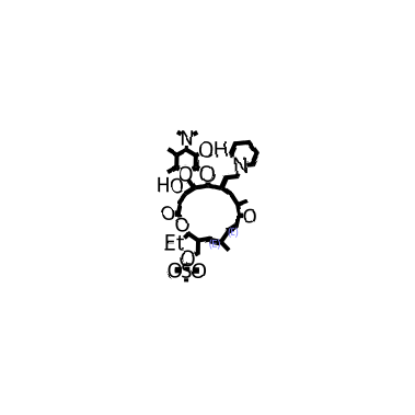 CCC1OC(=O)CC(O)C(C)C(OC2OC(C)C(C)C(N(C)C)C2O)C(CCN2CCCCC2)CC(C)C(=O)/C=C/C(C)=C/C1COS(C)(=O)=O